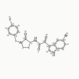 O=C(NC1CCN(Cc2ccc(F)cc2)C1=O)C(=O)c1c[nH]c2ccc(Br)cc12